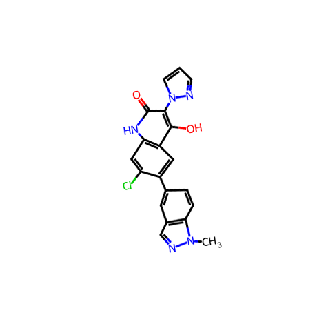 Cn1ncc2cc(-c3cc4c(O)c(-n5cccn5)c(=O)[nH]c4cc3Cl)ccc21